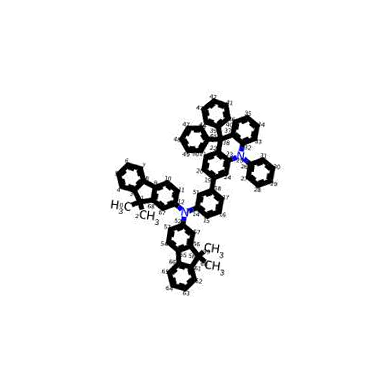 CC1(C)c2ccccc2-c2ccc(N(c3cccc(-c4ccc5c(c4)N(c4ccccc4)c4ccccc4C5(c4ccccc4)c4ccccc4)c3)c3ccc4c(c3)C(C)(C)c3ccccc3-4)cc21